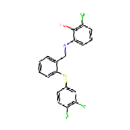 Oc1c(Cl)cccc1NCc1ccccc1Sc1ccc(Cl)c(Cl)c1